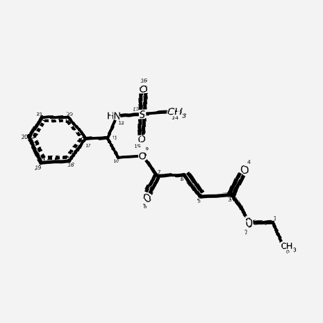 CCOC(=O)/C=C/C(=O)OCC(NS(C)(=O)=O)c1ccccc1